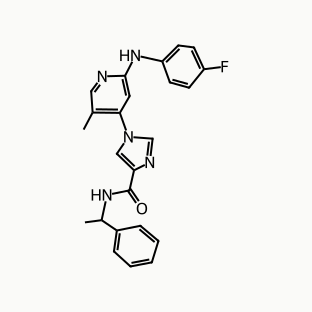 Cc1cnc(Nc2ccc(F)cc2)cc1-n1cnc(C(=O)NC(C)c2ccccc2)c1